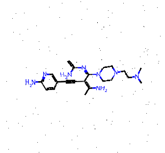 C=C(N)/N=C(\C(C#Cc1ccc(N)nc1)=C(\C)N)N1CCN(CCN(C)C)CC1